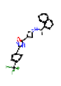 C[C@@H](NC1CC(c2nc(-c3ccc(C(F)(F)F)cc3)no2)C1)c1cccc2ccccc12